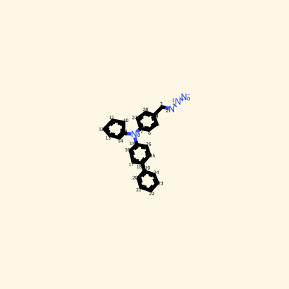 [N-]=[N+]=NCc1ccc(N(c2ccccc2)c2ccc(-c3ccccc3)cc2)cc1